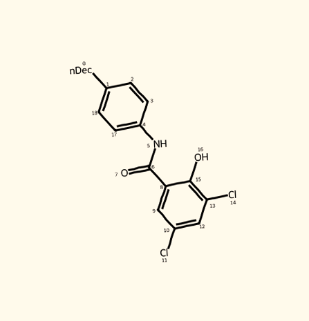 CCCCCCCCCCc1ccc(NC(=O)c2cc(Cl)cc(Cl)c2O)cc1